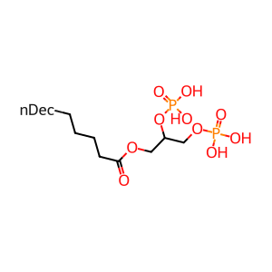 CCCCCCCCCCCCCCC(=O)OCC(COP(=O)(O)O)OP(=O)(O)O